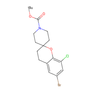 CC(C)(C)OC(=O)N1CCC2(CCc3cc(Br)cc(Cl)c3O2)CC1